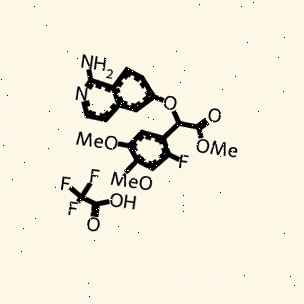 COC(=O)C(Oc1ccc2c(N)nccc2c1)c1cc(OC)c(OC)cc1F.O=C(O)C(F)(F)F